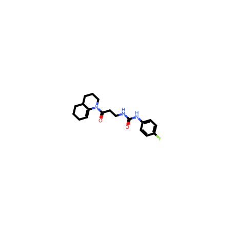 O=C(NCCC(=O)N1CCCC2CCCC=C21)Nc1ccc(F)cc1